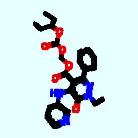 CCC(CC)OC(=O)OCOC(=O)c1c(-c2ccccc2)nn(CC)c(=O)c1Nc1cccnc1